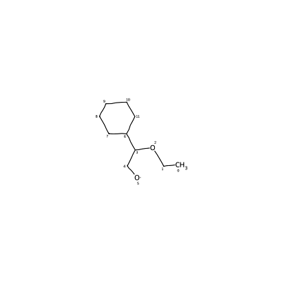 CCOC(C[O])C1CCCCC1